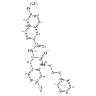 COc1ccc2cc(C(=O)NC(Cc3ccc(Cl)cc3)C(=O)NCCCc3ccccc3)ccc2c1